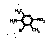 Cc1cc([N+](=O)[O-])c(C)c(Br)c1N